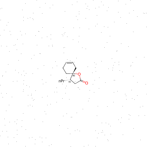 CCC[C@H]1CC(=O)O[C@]12CC=CCC2